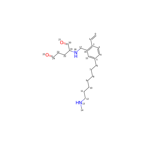 C=Cc1ccc(CCCCCCCNC)cc1CNC(C=O)CCC=O